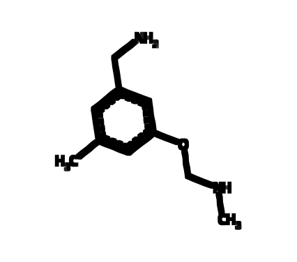 CNCOc1cc(C)cc(CN)c1